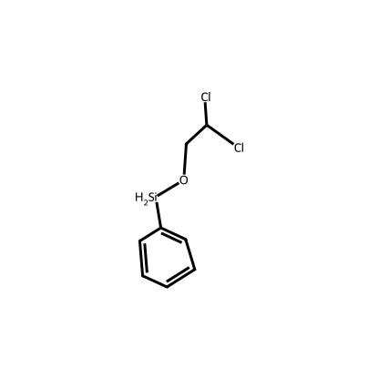 ClC(Cl)CO[SiH2]c1ccccc1